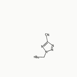 CCCCCn1nnc(C#N)n1